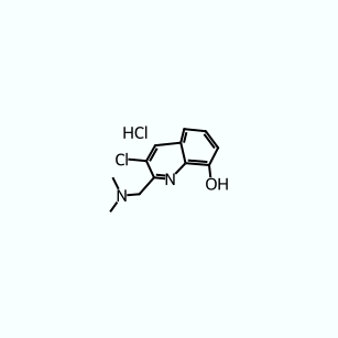 CN(C)Cc1nc2c(O)cccc2cc1Cl.Cl